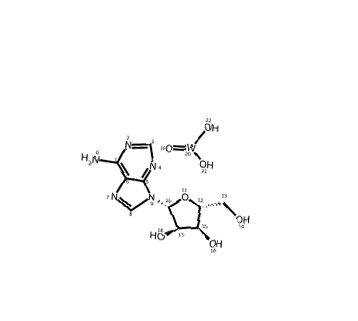 Nc1ncnc2c1ncn2[C@@H]1O[C@H](CO)[C@@H](O)[C@H]1O.[O]=[W]([OH])[OH]